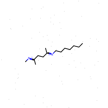 CCCCCCC/N=C(\C)CC/C(C)=N/C